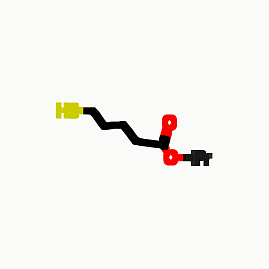 CC(C)OC(=O)CCCCS